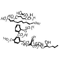 CCCC(CCC)C(=O)O.CCCCC(=O)O.CCCCCCCCCCCCCCCCCC(=O)O.N#CS.O=C(O)CCC(=O)O.O=C(O)c1ccc(C(=O)O)cc1.O=C(O)c1ccccc1OS(=O)(=O)O.O=S(=O)(O)O